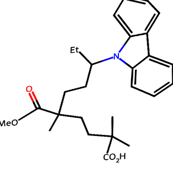 CCC(CCC(C)(CCC(C)(C)C(=O)O)C(=O)OC)n1c2ccccc2c2ccccc21